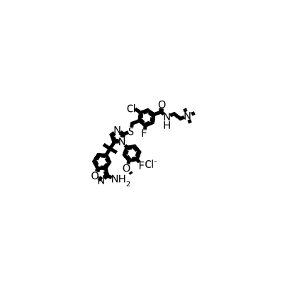 COc1cc(-n2c(C(C)(C)c3ccc4onc(N)c4c3)cnc2SCc2c(F)cc(C(=O)NCC[N+](C)(C)C)cc2Cl)ccc1F.[Cl-]